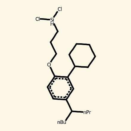 CCCCC(CCC)c1ccc(OCCC[SiH](Cl)Cl)c(C2CCCCC2)c1